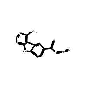 [N-]=[N+]=NC(=O)c1ccc2[nH]c3ncnc(N)c3c2c1